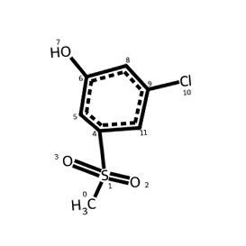 CS(=O)(=O)c1cc(O)cc(Cl)c1